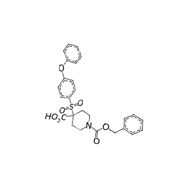 O=C(OCc1ccccc1)N1CCC(C(=O)O)(S(=O)(=O)c2ccc(Oc3ccccc3)cc2)CC1